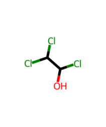 O[C](Cl)C(Cl)Cl